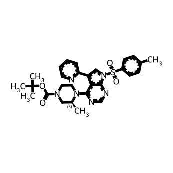 Cc1ccc(S(=O)(=O)n2cc(-c3ccccn3)c3c(N4CCN(C(=O)OC(C)(C)C)C[C@@H]4C)ncnc32)cc1